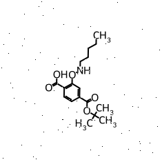 CCCCCNOc1cc(C(=O)OC(C)(C)C)ccc1C(=O)O